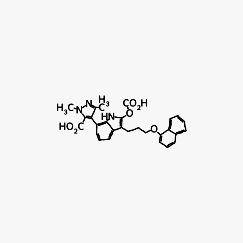 Cc1nn(C)c(C(=O)O)c1-c1cccc2c(CCCOc3cccc4ccccc34)c(OC(=O)O)[nH]c12